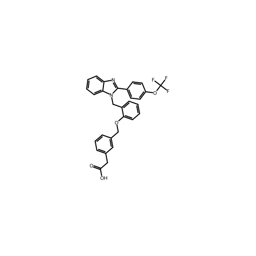 O=C(O)Cc1cccc(COc2ccccc2Cn2c(-c3ccc(OC(F)(F)F)cc3)nc3ccccc32)c1